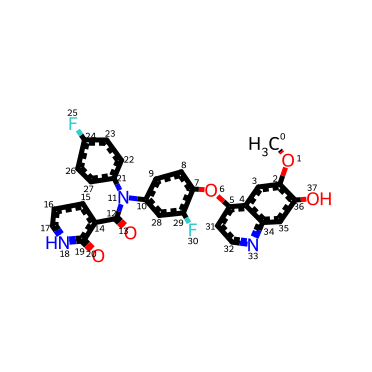 COc1cc2c(Oc3ccc(N(C(=O)c4ccc[nH]c4=O)c4ccc(F)cc4)cc3F)ccnc2cc1O